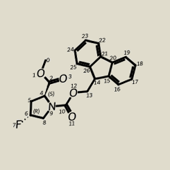 COC(=O)[C@@H]1C[C@@H](F)CN1C(=O)OCC1c2ccccc2-c2ccccc21